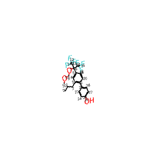 CCCc1cc(C(OCOC)(C(F)(F)F)C(F)(F)F)ccc1-c1ccc(O)cc1